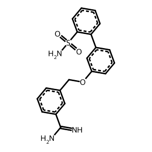 N=C(N)c1cccc(COc2cccc(-c3ccccc3S(N)(=O)=O)c2)c1